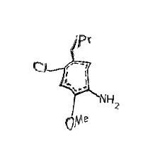 COc1cc(Cl)c(C(C)C)cc1N